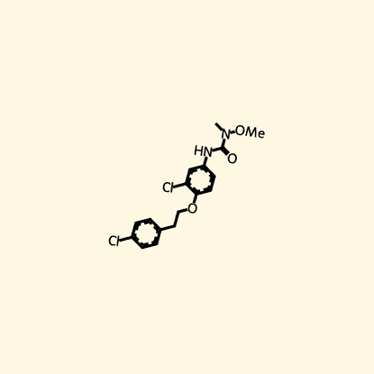 CON(C)C(=O)Nc1ccc(OCCc2ccc(Cl)cc2)c(Cl)c1